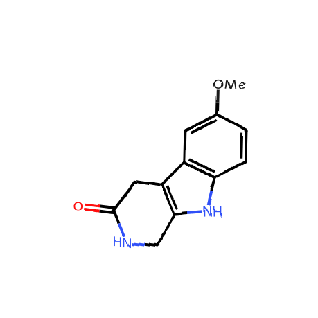 COc1ccc2[nH]c3c(c2c1)CC(=O)NC3